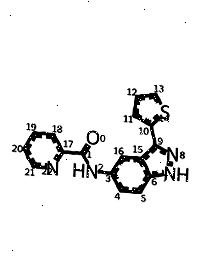 O=C(Nc1ccc2[nH]nc(-c3cccs3)c2c1)c1ccccn1